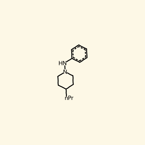 CCCC1CCN(Nc2ccccc2)CC1